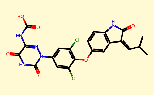 CC(C)/C=C1\C(=O)Nc2ccc(Oc3c(Cl)cc(-n4nc(NC(=O)O)c(=O)[nH]c4=O)cc3Cl)cc21